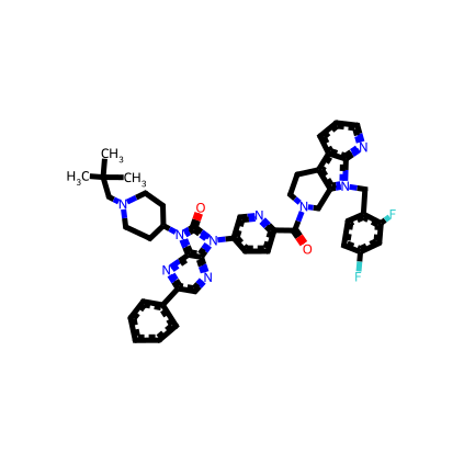 CC(C)(C)CN1CCC(n2c(=O)n(-c3ccc(C(=O)N4CCc5c(n(Cc6ccc(F)cc6F)c6ncccc56)C4)nc3)c3ncc(-c4ccccc4)nc32)CC1